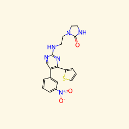 O=C1NCCN1CCNc1ncc(-c2cccc([N+](=O)[O-])c2)c(-c2cccs2)n1